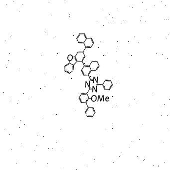 COc1c(-c2ccccc2)cccc1-c1nc(-c2ccccc2)nc(-c2ccc(C3=CC(c4cccc5ccccc45)Cc4oc5ccccc5c43)c3c2C=CCC3)n1